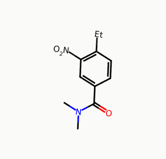 CCc1ccc(C(=O)N(C)C)cc1[N+](=O)[O-]